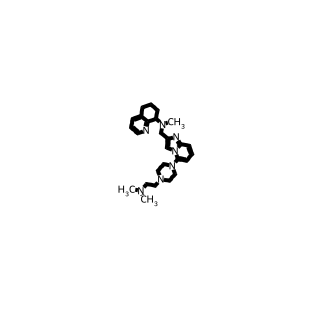 CN(C)CCN1CCN(c2cccc3nc(CN(C)C4CCCc5cccnc54)cn23)CC1